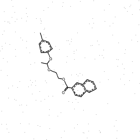 Cc1ccc(OC(C)OCCOC(=O)c2ccc3ccccc3c2)cc1